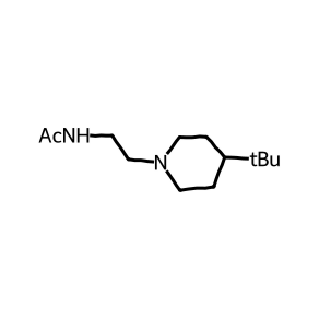 CC(=O)NCCN1CCC(C(C)(C)C)CC1